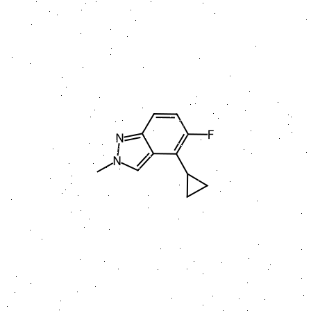 Cn1cc2c(C3CC3)c(F)ccc2n1